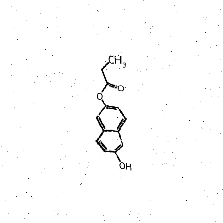 CCC(=O)Oc1ccc2cc(O)ccc2c1